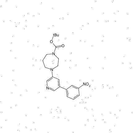 CC(C)(C)OC(=O)N1CCCN(c2cncc(-c3cccc([N+](=O)[O-])c3)c2)CC1